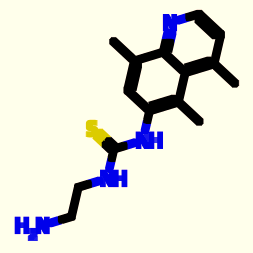 Cc1cc(NC(=S)NCCN)c(C)c2c(C)ccnc12